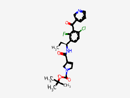 CC[C@H](NC(=O)C1=CCN(C(=O)OC(C)(C)C)C1)c1ccc(Cl)c(C(=O)c2cccnc2)c1F